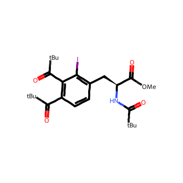 COC(=O)[C@H](Cc1ccc(C(=O)C(C)(C)C)c(C(=O)C(C)(C)C)c1I)NC(=O)C(C)(C)C